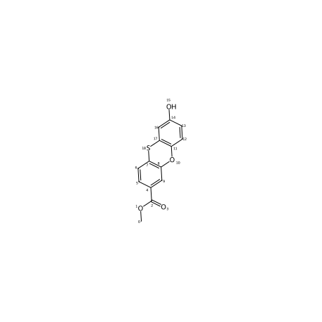 COC(=O)c1ccc2c(c1)Oc1ccc(O)cc1S2